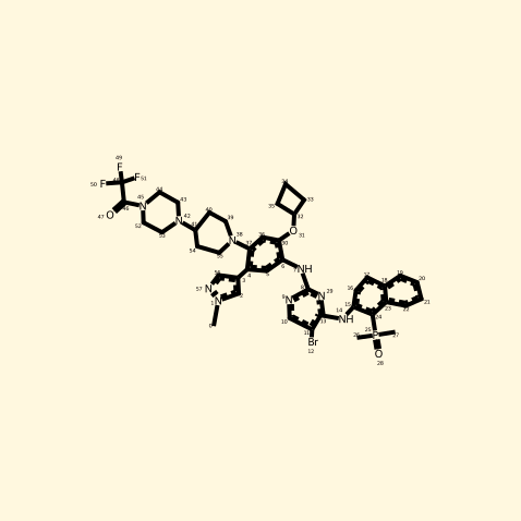 Cn1cc(-c2cc(Nc3ncc(Br)c(Nc4ccc5ccccc5c4P(C)(C)=O)n3)c(OC3CCC3)cc2N2CCC(N3CCN(C(=O)C(F)(F)F)CC3)CC2)cn1